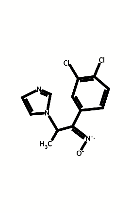 CC(C(=[N+][O-])c1ccc(Cl)c(Cl)c1)n1ccnc1